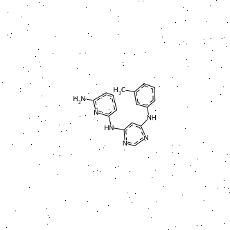 Cc1cccc(Nc2cc(Nc3cccc(N)n3)ncn2)c1